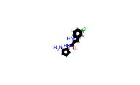 N[C@H]1CCC[C@@H]1NC(=O)c1cc2cc(Cl)ccc2[nH]1